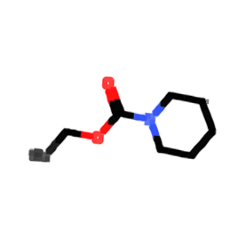 CC(C)(C)COC(=O)N1C[CH]CCC1